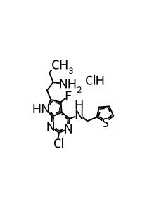 CCC(N)Cc1[nH]c2nc(Cl)nc(NCc3cccs3)c2c1F.Cl